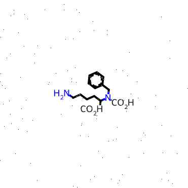 NCCCCC(C(=O)O)N(Cc1ccccc1)C(=O)O